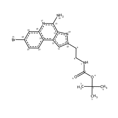 CC(C)(C)OC(=O)NCCn1cc2c(n1)c(N)nc1cc(Br)ccc12